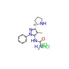 Cc1c([C@@H]2CCCN2)nn(-c2ccccc2)c1NC(N)=O.Cl.Cl